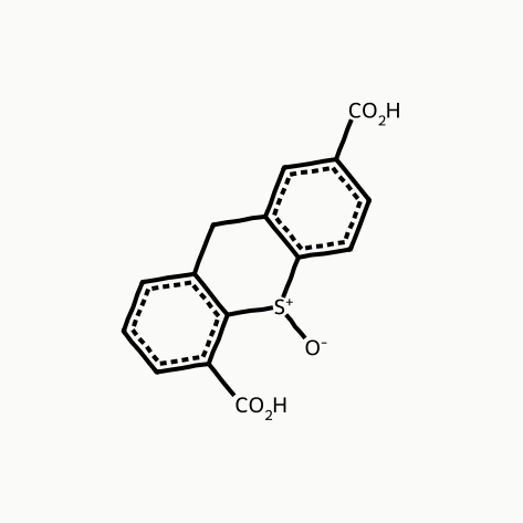 O=C(O)c1ccc2c(c1)Cc1cccc(C(=O)O)c1[S+]2[O-]